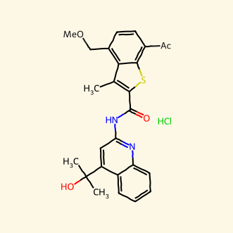 COCc1ccc(C(C)=O)c2sc(C(=O)Nc3cc(C(C)(C)O)c4ccccc4n3)c(C)c12.Cl